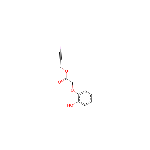 O=C(COc1ccccc1O)OCC#CI